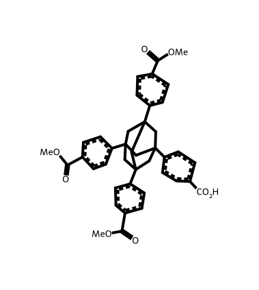 COC(=O)c1ccc(C23CC4(c5ccc(C(=O)O)cc5)CC(c5ccc(C(=O)OC)cc5)(C2)CC(c2ccc(C(=O)OC)cc2)(C4)C3)cc1